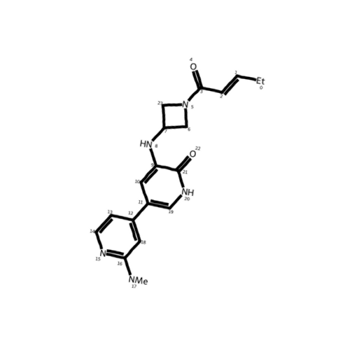 CCC=CC(=O)N1CC(Nc2cc(-c3ccnc(NC)c3)c[nH]c2=O)C1